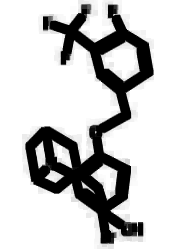 OCCN1CC2CC(C1)N2c1cc(Br)ccc1OCc1ccc(F)c(C(F)(F)F)c1